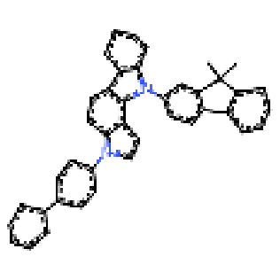 CC1(C)c2ccccc2-c2ccc(-n3c4ccccc4c4ccc5c(ccn5-c5ccc(-c6ccccc6)cc5)c43)cc21